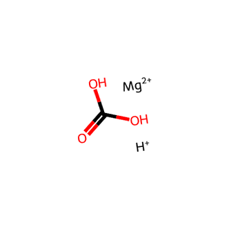 O=C(O)O.[H+].[Mg+2]